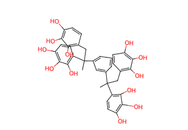 CC(Cc1ccc(O)c(O)c1O)(c1cccc(C(C)(Cc2ccc(O)c(O)c2O)c2ccc(O)c(O)c2O)c1)c1ccc(O)c(O)c1O